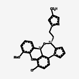 COc1cccc([C@H]2O[C@H](CCn3cc(C(=O)O)cn3)c3cccn3-c3ccc(Cl)cc32)c1OC